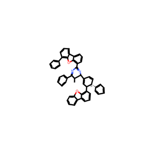 CC1C(c2ccccc2)=NC(c2cccc3c2oc2c(-c4ccccc4)cccc23)=NC1C1=CC(c2cccc3c2oc2ccccc23)[C@@H](c2ccccc2)C=C1